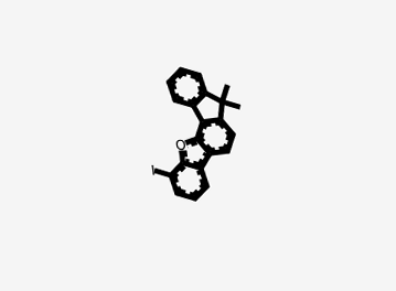 CC1(C)c2ccccc2-c2c1ccc1c2oc2c(I)cccc21